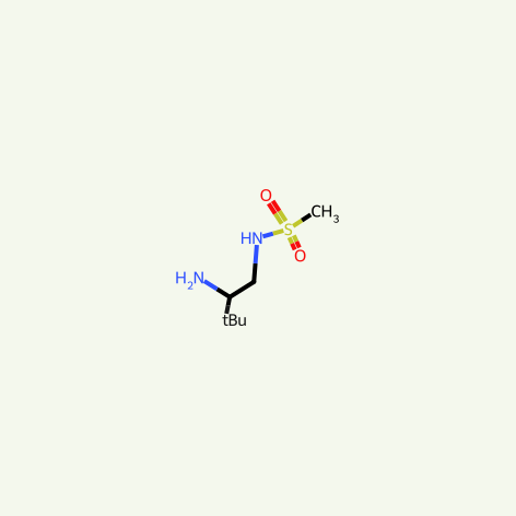 CC(C)(C)C(N)CNS(C)(=O)=O